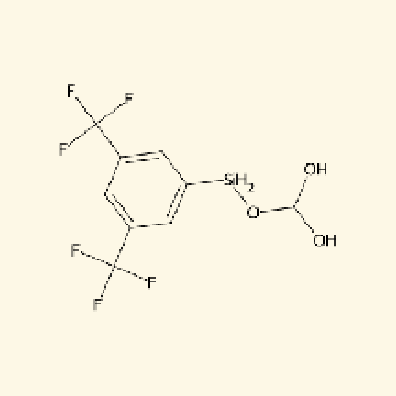 OC(O)O[SiH2]c1cc(C(F)(F)F)cc(C(F)(F)F)c1